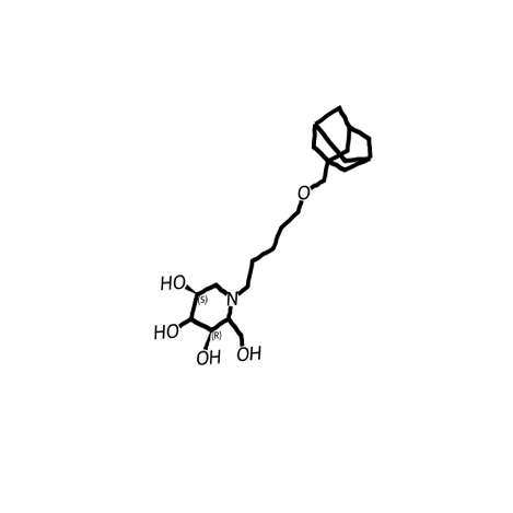 OCC1[C@@H](O)C(O)[C@@H](O)CN1CCCCCOCC12CC3CC(CC(C3)C1)C2